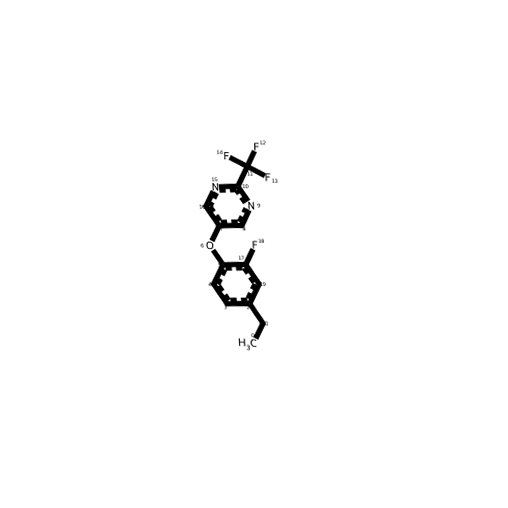 CCc1ccc(Oc2cnc(C(F)(F)F)nc2)c(F)c1